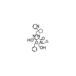 O=C(c1nc(CC2(c3ccccn3)CCCC2)nc(O)c1OCc1ccccc1)N(CCO)CC1CC1